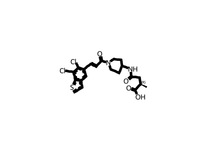 C[C@H](CC(=O)NC1CCN(C(=O)C=Cc2cc3ccsc3c(Cl)c2Cl)CC1)C(=O)O